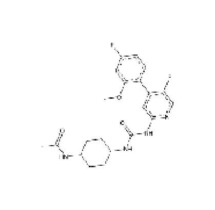 COc1cc(F)ccc1-c1cc(NC(=O)NC2CCC(NC(C)=O)CC2)ncc1F